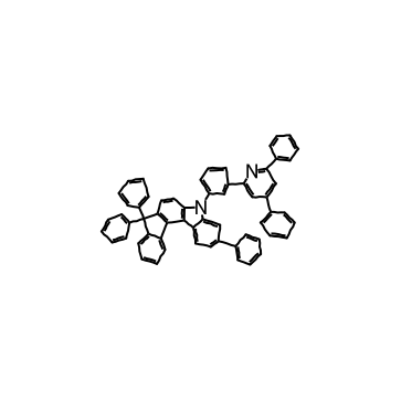 c1ccc(-c2cc(-c3ccccc3)nc(-c3cccc(-n4c5cc(-c6ccccc6)ccc5c5c6c(ccc54)C(c4ccccc4)(c4ccccc4)c4ccccc4-6)c3)c2)cc1